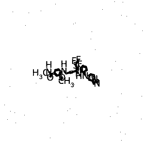 CNC(=O)c1ccc(NCC#Cc2nc3c(N[C@H]4CCn5cncc5C4)cccn3c2SC(F)(F)F)c(OC)c1